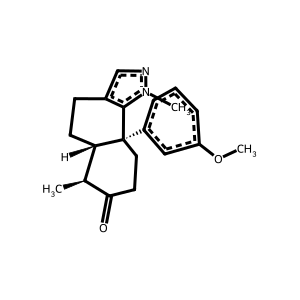 COc1cccc([C@]23CCC(=O)[C@@H](C)[C@@H]2CCc2cnn(C)c23)c1